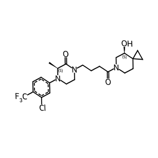 C[C@H]1C(=O)N(CCCC(=O)N2CCC3(CC3)[C@H](O)C2)CCN1c1ccc(C(F)(F)F)c(Cl)c1